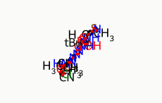 Cc1ncsc1-c1ccc([C@H](C)NC(=O)[C@@H]2C[C@@H](O)CN2C(=O)[C@@H](NC(=O)CN2CCN(C3CN(c4ccc(C(=O)NC5C(C)(C)C(Oc6ccc(C#N)c(Cl)c6)C5(C)C)cn4)C3)CC2)C(C)(C)C)cc1